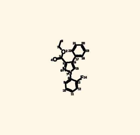 CCOC(=O)c1nn(-c2ccccc2F)cc1-c1ccccc1